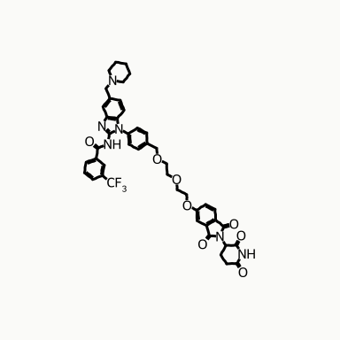 O=C1CCC(N2C(=O)c3ccc(OCCOCCOCc4ccc(-n5c(NC(=O)c6cccc(C(F)(F)F)c6)nc6cc(CN7CCCCC7)ccc65)cc4)cc3C2=O)C(=O)N1